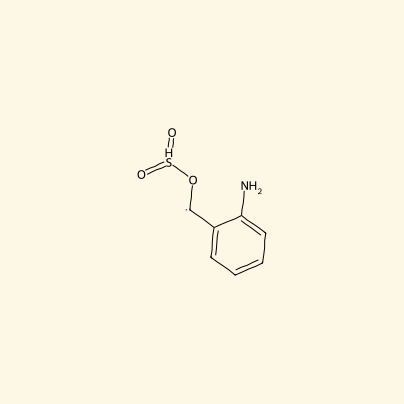 Nc1ccccc1[CH]O[SH](=O)=O